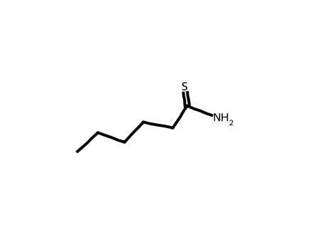 CCCCCC(N)=S